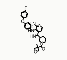 CC1(C(=O)N2CCCC(C(=N)c3ccnc(N)c3Nc3ccc(Oc4ccc(F)cc4)cc3)C2)COC1